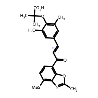 CSc1ccc(C(=O)/C=C/c2cc(C)c(OC(C)(C)C(=O)O)c(C)c2)c2oc(C)nc12